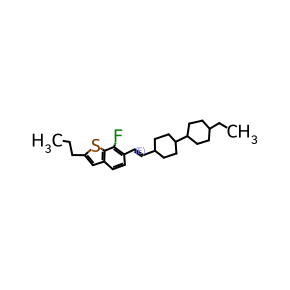 CCCc1cc2ccc(/C=C/C3CCC(C4CCC(CC)CC4)CC3)c(F)c2s1